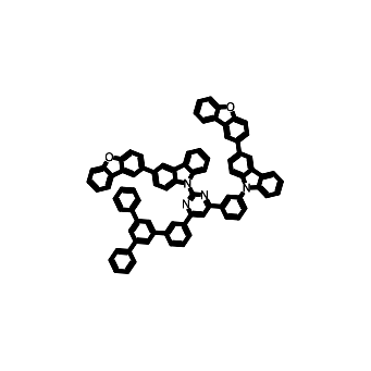 c1ccc(-c2cc(-c3ccccc3)cc(-c3cccc(-c4cc(-c5cccc(-n6c7ccccc7c7cc(-c8ccc9oc%10ccccc%10c9c8)ccc76)c5)nc(-n5c6ccccc6c6cc(-c7ccc8oc9ccccc9c8c7)ccc65)n4)c3)c2)cc1